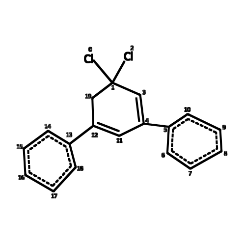 ClC1(Cl)C=C(c2ccccc2)C=C(c2ccccc2)C1